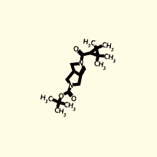 CC(C)(C)OC(=O)N1CC2=CN(C(=O)C3C(C)(C)C3(C)C)CC2C1